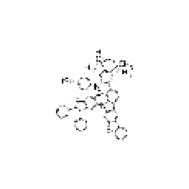 CC(C)(C)c1ccc(N2B3c4cc5sc(-c6ccccc6)c(-c6ccccc6)c5cc4-n4c5cc6sc7ccccc7c6cc5c5ccc(c3c54)-c3cc4c(cc32)C(C)(C)CCC4(C)C)cc1